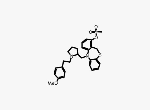 COc1ccc(CCN2CCCC2CN2c3ccccc3SCc3c(OS(C)(=O)=O)cccc32)cc1